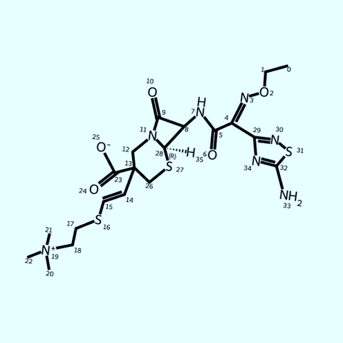 CCON=C(C(=O)NC1C(=O)N2CC(C=CSCC[N+](C)(C)C)(C(=O)[O-])CS[C@H]12)c1nsc(N)n1